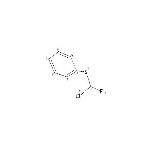 FC(Cl)Sc1ccccc1